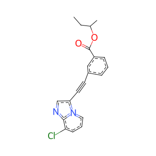 CCC(C)OC(=O)c1cccc(C#Cc2cnc3c(Cl)cccn23)c1